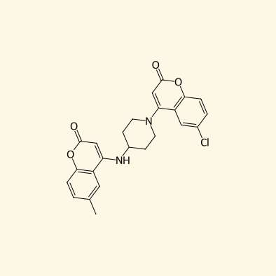 Cc1ccc2oc(=O)cc(NC3CCN(c4cc(=O)oc5ccc(Cl)cc45)CC3)c2c1